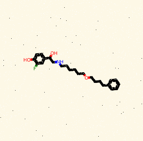 Oc1ccc(C(O)CNCCCCCCOCCCCc2ccccc2)cc1F